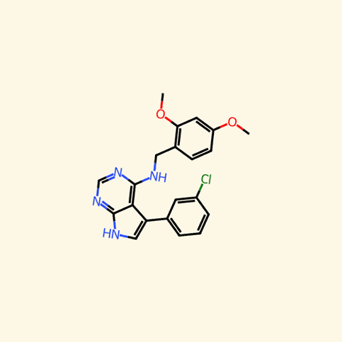 COc1ccc(CNc2ncnc3[nH]cc(-c4cccc(Cl)c4)c23)c(OC)c1